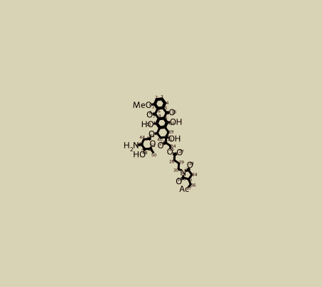 COc1cccc2c1C(=O)c1c(O)c3c(c(O)c1C2=O)CC(O)(C(=O)COC(=O)CCCN1C(=O)CC(CC(C)=O)C1=O)CC3OC1CC(N)C(O)C(C)O1